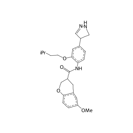 COc1ccc2c(c1)CC(C(=O)Nc1ccc(C3C=NNC3)cc1OCCC(C)C)CO2